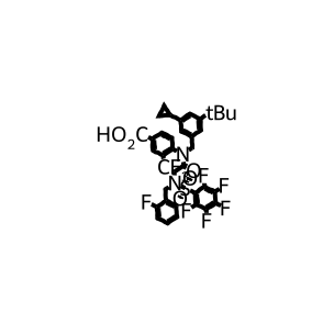 CC(C)(C)c1cc(CN(C(=O)CN(Cc2ccccc2F)S(=O)(=O)c2c(F)c(F)c(F)c(F)c2F)c2ccc(C(=O)O)cc2C(F)(F)F)cc(C2CC2)c1